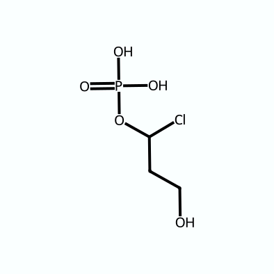 O=P(O)(O)OC(Cl)CCO